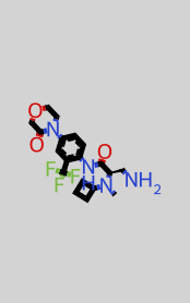 CN(C1CCC1)[C@H](CN)C(=O)Nc1ccc(N2CCOCC2=O)cc1C(F)(F)F